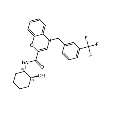 O=C(N[C@H]1CCCC[C@@H]1O)C1=CN(Cc2cccc(C(F)(F)F)c2)c2ccccc2O1